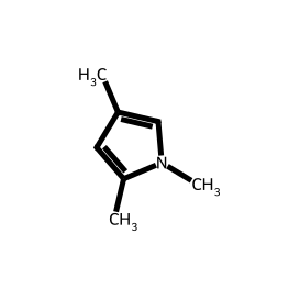 Cc1cc(C)n(C)c1